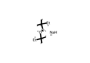 CCC(C)(C)OOC(C)(C)CC.[NaH]